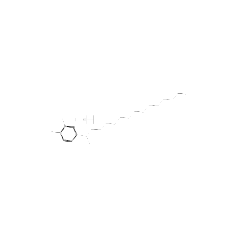 CCCCCCCCCCCCCCC(C)c1ccc(C)c(C)c1O